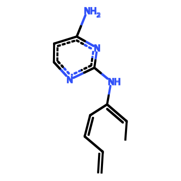 C=C/C=C\C(=C/C)Nc1nccc(N)n1